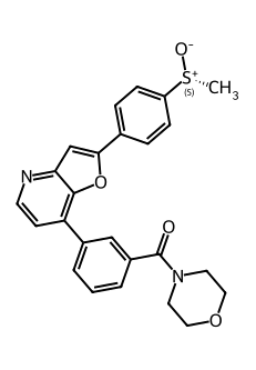 C[S@@+]([O-])c1ccc(-c2cc3nccc(-c4cccc(C(=O)N5CCOCC5)c4)c3o2)cc1